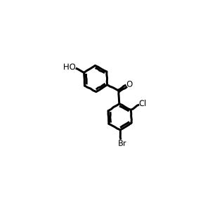 O=C(c1ccc(O)cc1)c1ccc(Br)cc1Cl